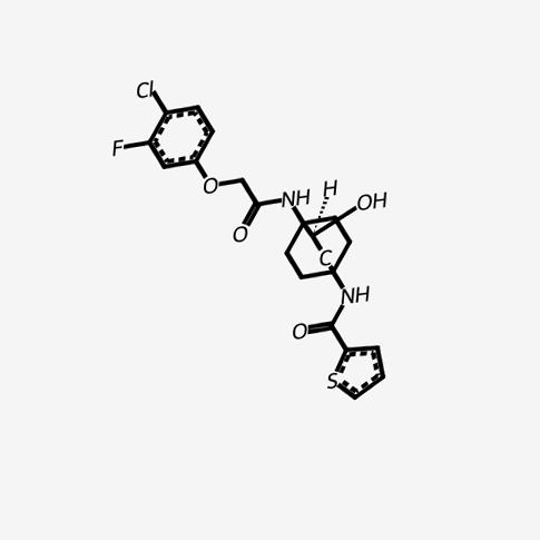 O=C(COc1ccc(Cl)c(F)c1)NC12CCC(NC(=O)c3cccs3)(CC1)C[C@@H]2O